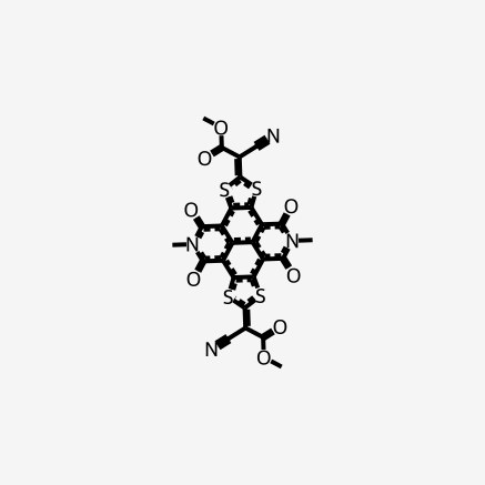 COC(=O)C(C#N)=c1sc2c(s1)c1c(=O)n(C)c(=O)c3c4sc(=C(C#N)C(=O)OC)sc4c4c(=O)n(C)c(=O)c2c4c13